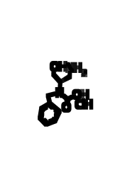 Cl.NC[C@H](CO)N(Cc1ccccc1)C(=O)O